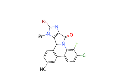 CC(C)n1c(Br)nc2c1C1c3ccc(C#N)cc3-c3ccc(Cl)c(F)c3N1C2=O